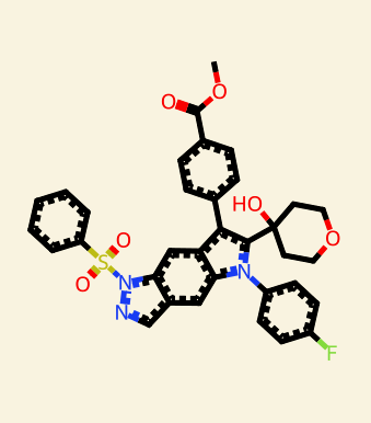 COC(=O)c1ccc(-c2c(C3(O)CCOCC3)n(-c3ccc(F)cc3)c3cc4cnn(S(=O)(=O)c5ccccc5)c4cc23)cc1